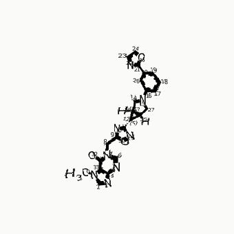 Cn1cnc2ncn(Cc3nc([C@@H]4[C@@H]5CN(c6cccc(-c7ncco7)c6)C[C@@H]54)no3)c(=O)c21